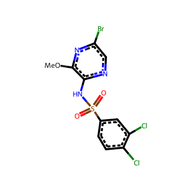 COc1nc(Br)cnc1NS(=O)(=O)c1ccc(Cl)c(Cl)c1